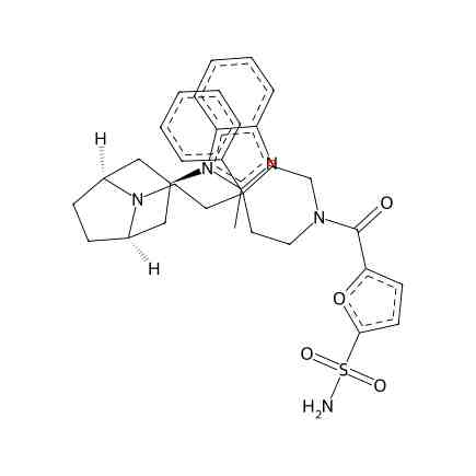 Cc1nc2ccccc2n1[C@H]1C[C@H]2CC[C@@H](C1)N2CCC1(c2ccccc2)CCN(C(=O)c2ccc(S(N)(=O)=O)o2)CC1